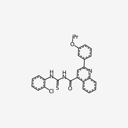 CC(C)Oc1cccc(-c2cc(C(=O)NC(=S)Nc3ccccc3Cl)c3ccccc3n2)c1